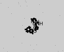 Cc1ccc(N(C)NC(=O)c2ccc(Oc3cc4c(cc3C)C(C)(C)C(C)CC4(C)C)o2)nn1